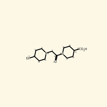 CCC1CCN(CC(=O)N2CCC(C(=O)O)CC2)CC1